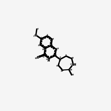 COc1ccc2nc(N3CCNC(C)CC3)[nH]c(=O)c2c1